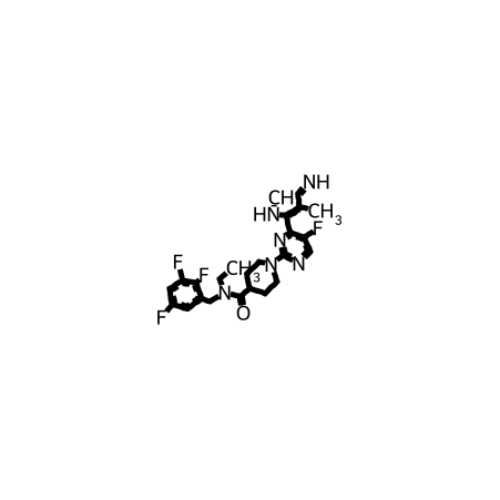 CCN(Cc1cc(F)cc(F)c1F)C(=O)C1CCN(c2ncc(F)c(/C(NC)=C(\C)C=N)n2)CC1